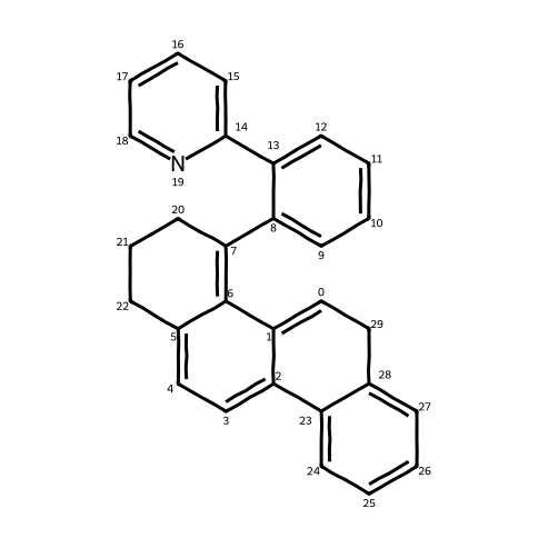 C1=c2c(ccc3c2=C(c2ccccc2-c2ccccn2)CCC3)-c2ccccc2C1